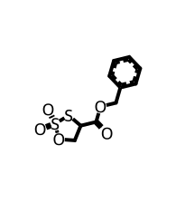 O=C(OCc1ccccc1)C1COS(=O)(=O)S1